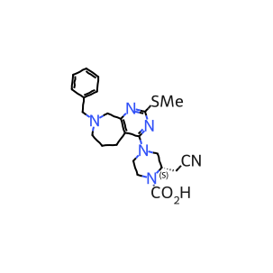 CSc1nc2c(c(N3CCN(C(=O)O)[C@@H](CC#N)C3)n1)CCCN(Cc1ccccc1)C2